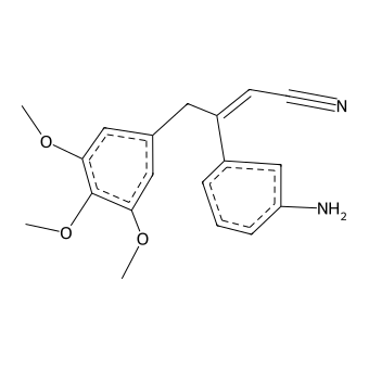 COc1cc(CC(=CC#N)c2cccc(N)c2)cc(OC)c1OC